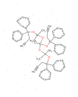 C#CC[Si](O[Si](C)(C)O[Si](C)(O[Si](C)(C)O[Si](CC#C)(c1ccccc1)c1ccccc1)O[Si](CC#C)(c1ccccc1)c1ccccc1)(c1ccccc1)c1ccccc1